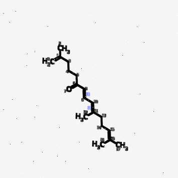 C=C(C)CCCC(=O)/C=C/C=C(\C)CCC=C(C)C